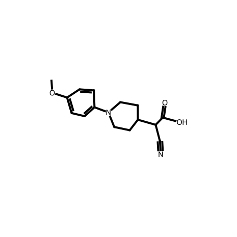 COc1ccc(N2CCC(C(C#N)C(=O)O)CC2)cc1